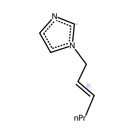 CCC/C=C/Cn1[c]ncc1